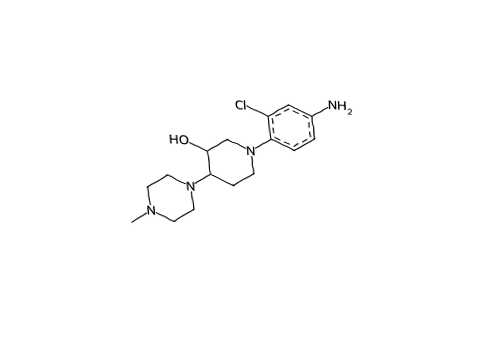 CN1CCN(C2CCN(c3ccc(N)cc3Cl)CC2O)CC1